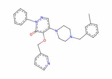 Cc1cccc(CN2CCN(c3cnn(-c4ccccc4)c(=O)c3OCc3cccnc3)CC2)c1